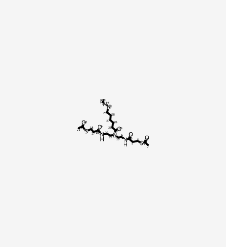 CC(=O)SCCC(=O)NCCN(CCNC(=O)CCSC(C)=O)C(=O)CCCCCN=[N+]=[N-]